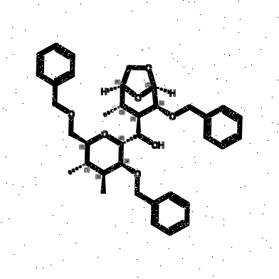 C[C@H]1[C@H](C)[C@@H](COCc2ccccc2)O[C@H](C(O)[C@H]2[C@H](C)[C@H]3CO[C@H](O3)[C@H]2OCc2ccccc2)[C@H]1OCc1ccccc1